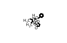 CCC(NC(=O)OCc1ccccc1)C(CC)OON1C(=O)CCC1=O